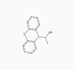 CC(O)C1c2ccccc2Oc2ccccc21